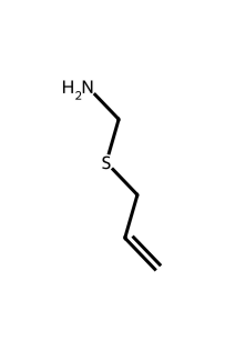 C=CCSCN